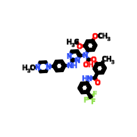 COc1ccc(N(c2ccnc(Nc3ccc(N4CCN(C)CC4)cc3)n2)C(O)Oc2cc(C(=O)Nc3cccc(C(F)(F)F)c3)ccc2C)c(OC)c1